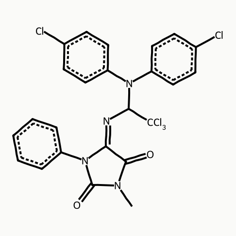 CN1C(=O)C(=NC(N(c2ccc(Cl)cc2)c2ccc(Cl)cc2)C(Cl)(Cl)Cl)N(c2ccccc2)C1=O